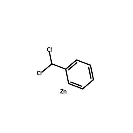 ClC(Cl)c1ccccc1.[Zn]